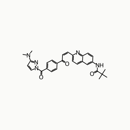 CN(C)c1ccn(C(=O)c2ccc(C(=O)/C=C\c3ccc4cc(NC(=O)C(C)(C)C)ccc4n3)cc2)n1